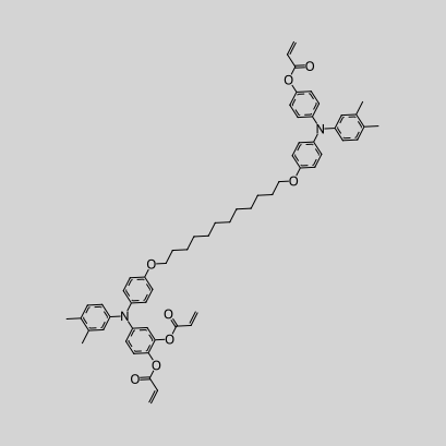 C=CC(=O)Oc1ccc(N(c2ccc(OCCCCCCCCCCCCOc3ccc(N(c4ccc(C)c(C)c4)c4ccc(OC(=O)C=C)c(OC(=O)C=C)c4)cc3)cc2)c2ccc(C)c(C)c2)cc1